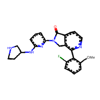 COc1cccc(F)c1-c1nccc2c1CN(c1cccc(NC3CCNC3)n1)C2=O